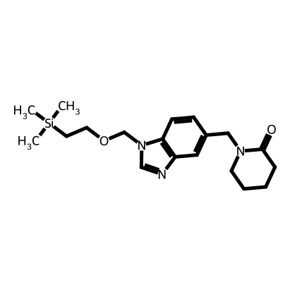 C[Si](C)(C)CCOCn1cnc2cc(CN3CCCCC3=O)ccc21